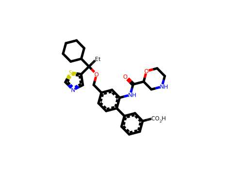 CCC(OCc1ccc(-c2cccc(C(=O)O)c2)c(NC(=O)C2CNCCO2)c1)(c1cncs1)C1CCCCC1